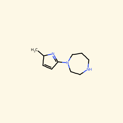 CC1C=CC(N2CCCNCC2)=N1